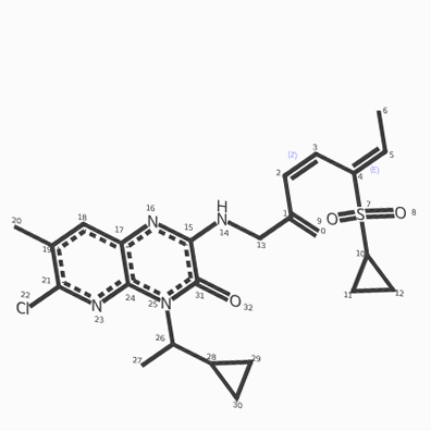 C=C(/C=C\C(=C/C)S(=O)(=O)C1CC1)CNc1nc2cc(C)c(Cl)nc2n(C(C)C2CC2)c1=O